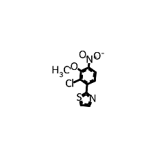 COc1c([N+](=O)[O-])ccc(-c2nccs2)c1Cl